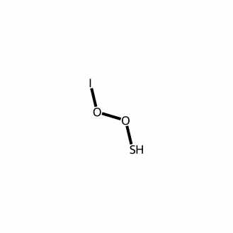 SOOI